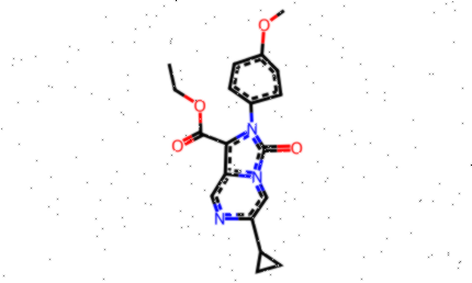 CCOC(=O)c1c2cnc(C3CC3)cn2c(=O)n1-c1ccc(OC)cc1